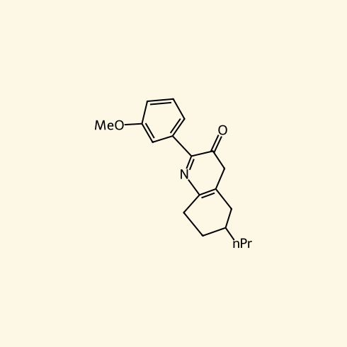 CCCC1CCC2=C(CC(=O)C(c3cccc(OC)c3)=N2)C1